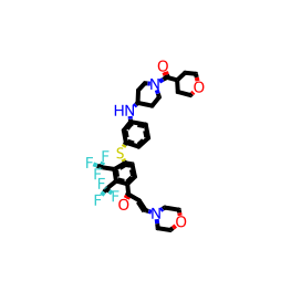 O=C(C=CN1CCOCC1)c1ccc(Sc2cccc(NC3CCN(C(=O)C4CCOCC4)CC3)c2)c(C(F)(F)F)c1C(F)(F)F